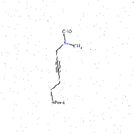 [CH2]CCCCCCC#CCN(C)C=O